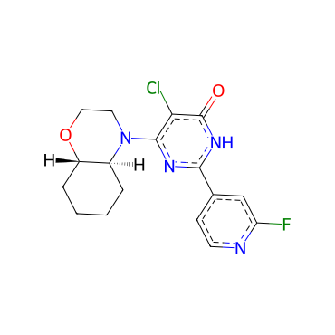 O=c1[nH]c(-c2ccnc(F)c2)nc(N2CCO[C@H]3CCCC[C@@H]32)c1Cl